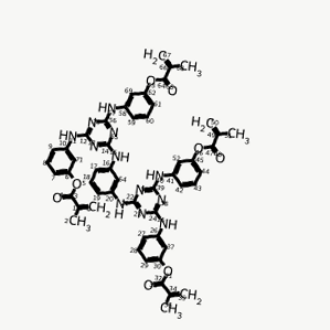 C=C(C)C(=O)Oc1cccc(Nc2nc(Nc3cccc(Nc4nc(Nc5cccc(OC(=O)C(=C)C)c5)nc(Nc5cccc(OC(=O)C(=C)C)c5)n4)c3)nc(Nc3cccc(OC(=O)C(=C)C)c3)n2)c1